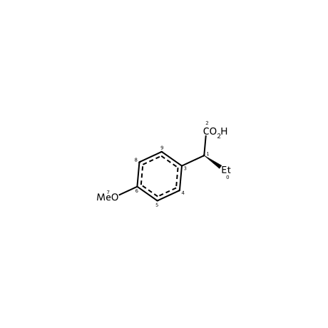 CC[C@H](C(=O)O)c1ccc(OC)cc1